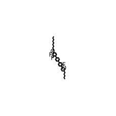 CCCCCCCCCOc1ccc(-c2ccc(-c3ccc(C4CCC(CCCCC)CO4)c(F)c3)cc2)c(F)c1F